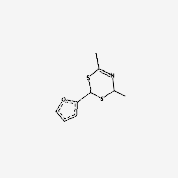 CC1=NC(C)SC(c2ccco2)S1